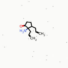 C=CCC1CCC(=O)C1(N)CC=C